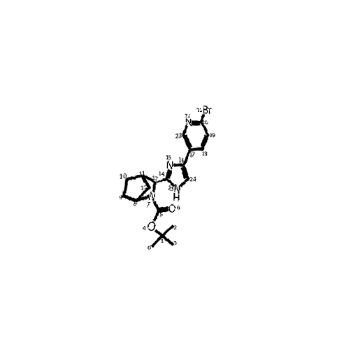 CC(C)(C)OC(=O)N1C2CCC(C2)[C@H]1c1nc(-c2ccc(Br)nc2)c[nH]1